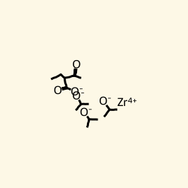 CC(C)[O-].CC(C)[O-].CC(C)[O-].CCC(C(C)=O)C(=O)[O-].[Zr+4]